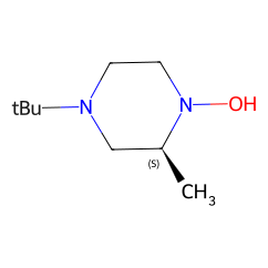 C[C@H]1CN(C(C)(C)C)CCN1O